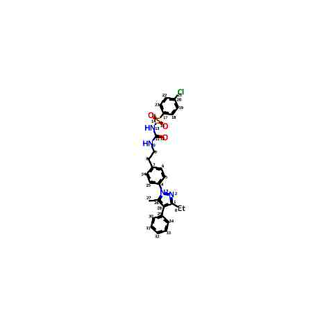 CCc1nn(-c2ccc(CCNC(=O)NS(=O)(=O)c3ccc(Cl)cc3)cc2)c(C)c1-c1ccccc1